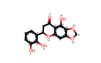 O=C1CC(c2cccc(O)c2O)Oc2cc3c(c(O)c21)OCO3